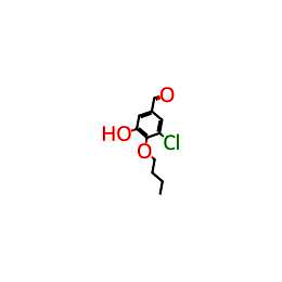 CCCCOc1c(O)cc(C=O)cc1Cl